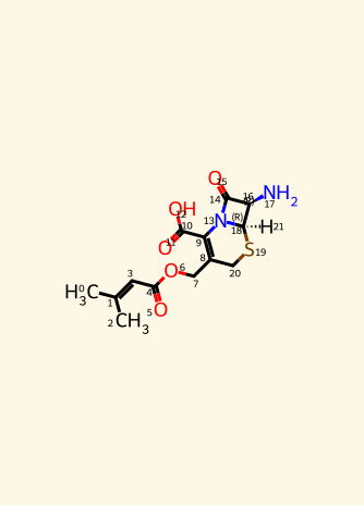 CC(C)=CC(=O)OCC1=C(C(=O)O)N2C(=O)[C@@H](N)[C@H]2SC1